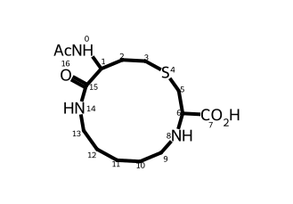 CC(=O)NC1CCSCC(C(=O)O)NCCCCCNC1=O